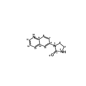 O=C1NCCN1c1ccc2ncccc2c1